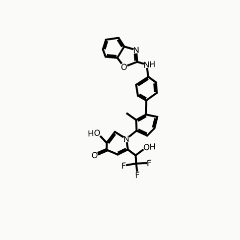 Cc1c(-c2ccc(Nc3nc4ccccc4o3)cc2)cccc1-n1cc(O)c(=O)cc1C(O)C(F)(F)F